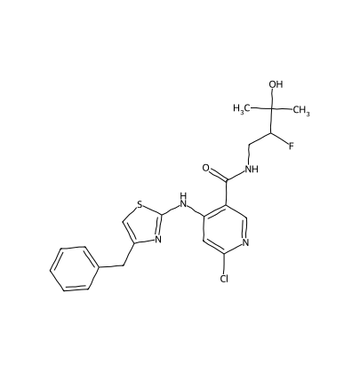 CC(C)(O)C(F)CNC(=O)c1cnc(Cl)cc1Nc1nc(Cc2ccccc2)cs1